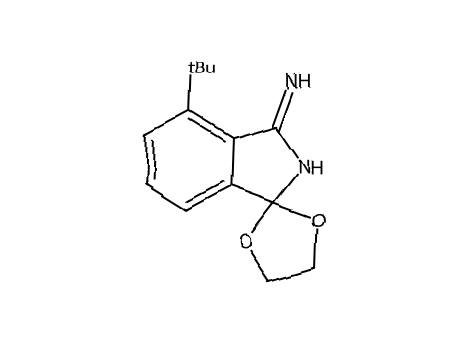 CC(C)(C)c1cccc2c1C(=N)NC21OCCO1